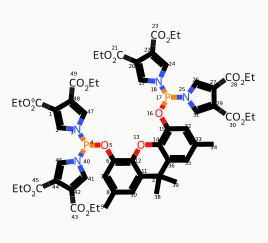 CCOC(=O)c1cn(P(Oc2cc(C)cc3c2Oc2c(OP(n4cc(C(=O)OCC)c(C(=O)OCC)c4)n4cc(C(=O)OCC)c(C(=O)OCC)c4)cc(C)cc2C3(C)C)n2cc(C(=O)OCC)c(C(=O)OCC)c2)cc1C(=O)OCC